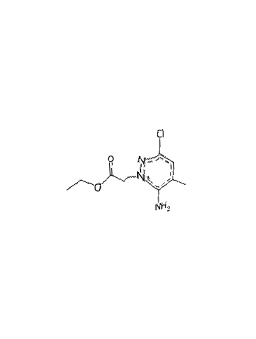 CCOC(=O)C[n+]1nc(Cl)cc(C)c1N